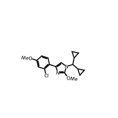 COc1ccc(-c2cn(C(C3CC3)C3CC3)c(OC)n2)c(Cl)c1